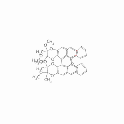 COC1(C)Oc2ccc(P(c3ccccc3)c3ccccc3)c(-c3c(P(c4ccccc4)c4ccccc4)ccc4c3O[C@](C)(OC)C(C)(OC)O4)c2OC1(C)OC